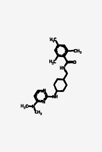 Cc1cc(C)c(C(=O)NCC2CCC(Nc3nccc(N(C)C)n3)CC2)c(C)c1